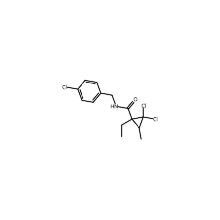 CCC1(C(=O)NCc2ccc(Cl)cc2)C(C)C1(Cl)Cl